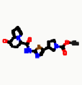 CC(C)(C)OC(=O)N1CC=C(c2cnc(NC(=O)C3CCC(=O)c4cccn43)s2)C1